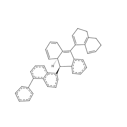 C1=CC2=C(C3=CCCC4=C3C=CCC4)c3ccccc3[C@@H](c3cccc4c(-c5ccccc5)cccc34)[C@H]2C=C1